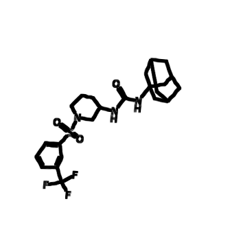 O=C(NC1CCCN(S(=O)(=O)c2cccc(C(F)(F)F)c2)C1)NC12CC3CC(CC(C3)C1)C2